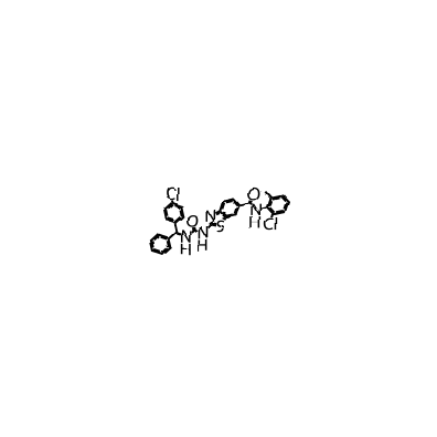 Cc1cccc(Cl)c1NC(=O)c1ccc2nc(NC(=O)NC(c3ccccc3)c3ccc(Cl)cc3)sc2c1